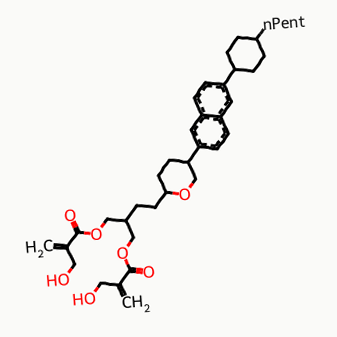 C=C(CO)C(=O)OCC(CCC1CCC(c2ccc3cc(C4CCC(CCCCC)CC4)ccc3c2)CO1)COC(=O)C(=C)CO